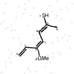 C=C/C(=C\C=C(/C)S)OC